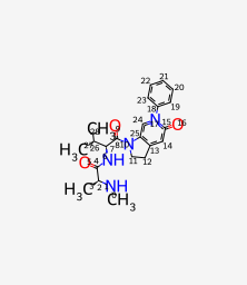 CN[C@@H](C)C(=O)N[C@H](C(=O)N1CCc2cc(=O)n(-c3ccccc3)cc21)C(C)C